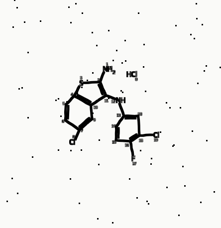 Cl.Nc1sc2ccc(Cl)cc2c1Nc1ccc(F)c(Cl)c1